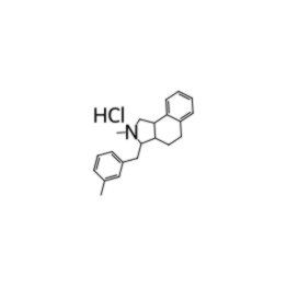 Cc1cccc(CC2C3CCc4ccccc4C3CN2C)c1.Cl